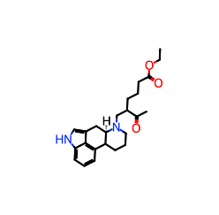 CCOC(=O)CCCC(CN1CCCC2c3cccc4[nH]cc(c34)C[C@H]21)C(C)=O